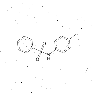 [CH2]c1ccc(NS(=O)(=O)c2ccccc2)cc1